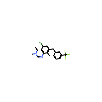 CCN(C)/C=N\c1cc(Cl)cc(Cc2cccc(C(F)(F)F)c2)c1C